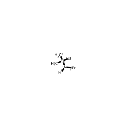 CC[Si](C)(C)N(C(C)C)C(C)C